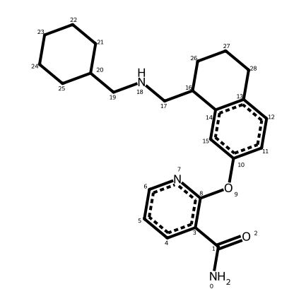 NC(=O)c1cccnc1Oc1ccc2c(c1)C(CNCC1CCCCC1)CCC2